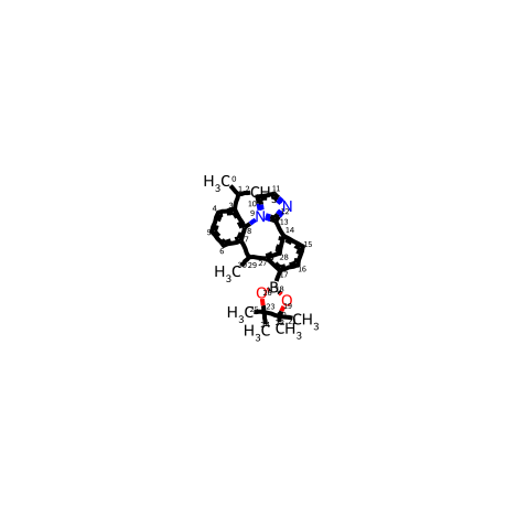 CC(C)c1cccc2c1-n1ccnc1-c1ccc(B3OC(C)(C)C(C)(C)O3)c(c1)C2C